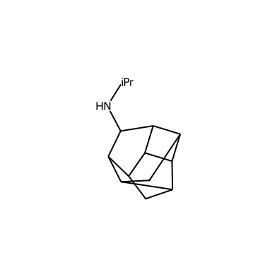 CC(C)NC1C2C3CC4C5C3CC2C5C41